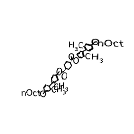 CCCCCCCCOc1ccc(-c2ccc(OC(=O)[C@H]3CC[C@H](C(=O)Oc4ccc(-c5ccc(OCCCCCCCC)cc5C)c(C)c4)CC3)cc2C)c(C)c1